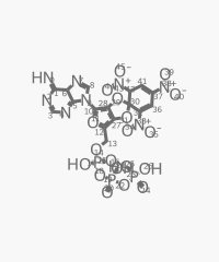 N=C1N=CN=C2C1N=CN2c1oc(COP(=O)(O)OP(=O)(O)OP(=O)(O)O)c2c1OC1(O2)C([N+](=O)[O-])=CC([N+](=O)[O-])=CC1[N+](=O)[O-]